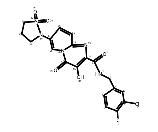 O=C(NCc1ccc(Cl)c(Cl)c1)c1nc2ccc(N3CCCS3(=O)=O)cn2c(=O)c1O